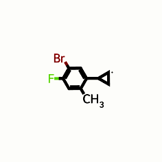 Cc1cc(F)c(Br)cc1C1[CH]C1